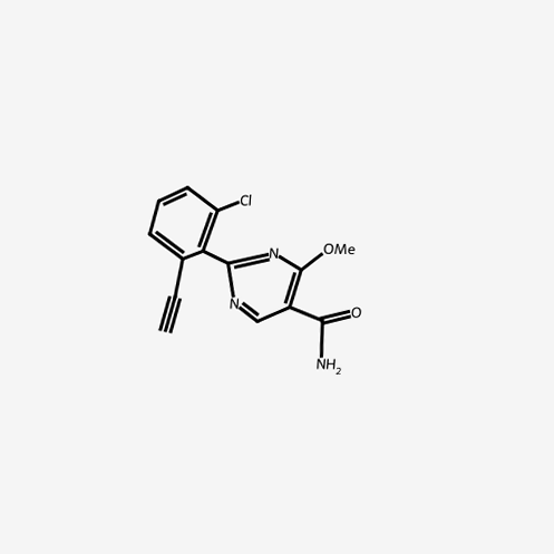 C#Cc1cccc(Cl)c1-c1ncc(C(N)=O)c(OC)n1